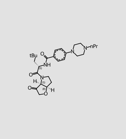 CCCN1CCN(c2ccc(C(=O)N[C@@H](CC(C)(C)C)C(=O)N3CC[C@H]4OCC(=O)[C@H]43)cc2)CC1